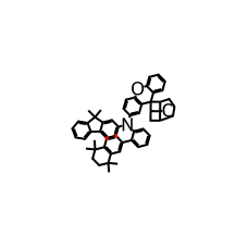 CC1(C)CCC(C)(C)c2cc(-c3ccccc3N(c3ccc4c(c3)C(C)(C)c3ccccc3-4)c3ccc4c(c3)C3(c5ccccc5O4)C4CC5CC6CC3C64C5)ccc21